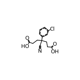 N#CC(CCC(=O)O)(CCC(=O)O)c1cccc(Cl)c1